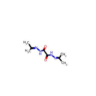 CC(C)=NNC(=O)C(=O)NN=C(C)C